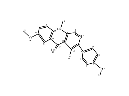 CNc1nnc(-c2ccc(OC)cc2)c(Cl)c1C(=N)c1cccc(OC)c1